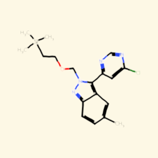 Cc1ccc2nn(COCC[Si](C)(C)C)c(-c3cc(Cl)ncn3)c2c1